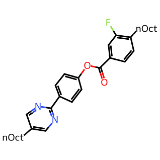 CCCCCCCCc1cnc(-c2ccc(OC(=O)c3ccc(CCCCCCCC)c(F)c3)cc2)nc1